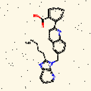 CCCCc1nc2cccnc2n1Cc1ccc2nc(-c3ccccc3C(=O)O)ccc2c1.[NaH]